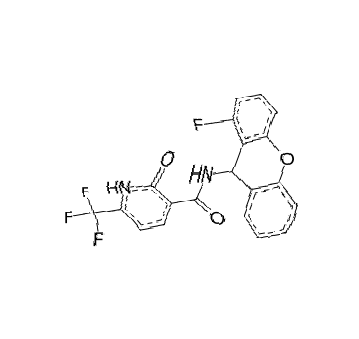 O=C(NC1c2ccccc2Oc2cccc(F)c21)c1ccc(C(F)(F)F)[nH]c1=O